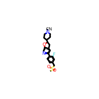 CS(=O)(=O)Cc1ccc(-c2cc3c(cn2)OC(C2CCN(C#N)CC2)C3)c(F)c1